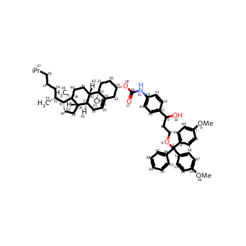 COc1ccc(C(OCCC(O)c2ccc(NC(=O)O[C@H]3CC[C@@]4(C)C(=CC[C@H]5[C@@H]6CC[C@H]([C@H](C)CCCC(C)C)[C@@]6(C)CC[C@@H]54)C3)cc2)(c2ccccc2)c2ccc(OC)cc2)cc1